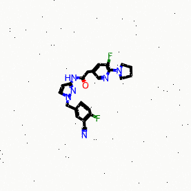 N#Cc1cc(Cn2ccc(NC(=O)Cc3cnc(N4CCCC4)c(F)c3)n2)ccc1F